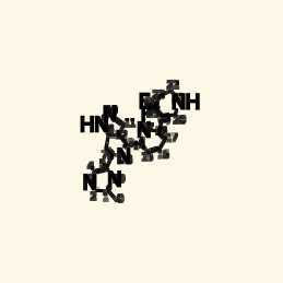 Cc1cncc(-c2cc3[nH]ncc3c(-c3cccc([C@@H]4CNCCC4(F)F)n3)n2)n1